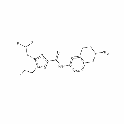 CCCc1cc(C(=O)Nc2ccc3c(c2)CCC(N)C3)nn1CC(F)F